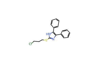 ClCCCSc1nc(-c2ccccc2)c(-c2ccccc2)[nH]1